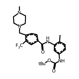 Cc1ccc(NC(=O)OC(C)(C)C)cc1NC(=O)c1ccc(CN2CCN(C)CC2)c(C(F)(F)F)c1